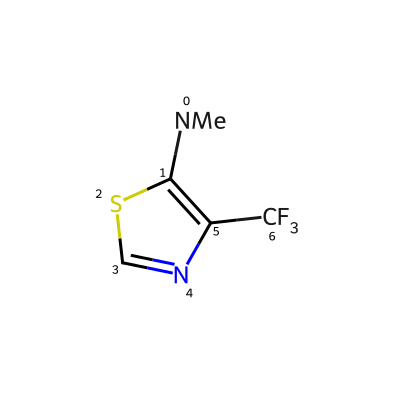 CNc1scnc1C(F)(F)F